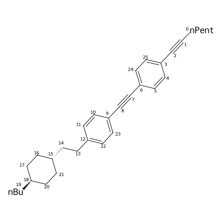 CCCCCC#Cc1ccc(C#Cc2ccc(CC[C@H]3CC[C@H](CCCC)CC3)cc2)cc1